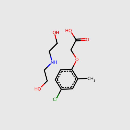 Cc1cc(Cl)ccc1OCC(=O)O.OCCNCCO